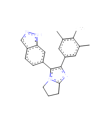 COc1c(C)cc(-c2nc3n(c2-c2ccc4cn[nH]c4c2)CCC3)cc1C